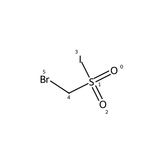 O=S(=O)(I)CBr